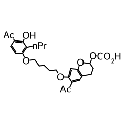 CCCc1c(OCCCCCOc2cc3c(cc2C(C)=O)CCC(OC(=O)O)O3)ccc(C(C)=O)c1O